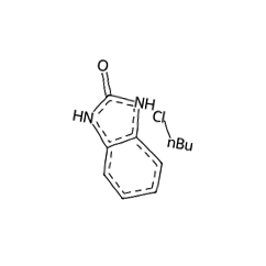 CCCCCl.O=c1[nH]c2ccccc2[nH]1